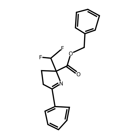 O=C(OCc1ccccc1)C1(C(F)F)CCC(c2ccccc2)=N1